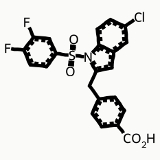 O=C(O)c1ccc(Cc2cc3cc(Cl)ccc3n2S(=O)(=O)c2ccc(F)c(F)c2)cc1